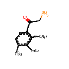 CCCCc1ccc(C(=O)CP)c(CCCC)c1CCCC